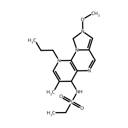 CCCN1C=C(C)C(NS(=O)(=O)CC)C2=C1N1CN(OC)C=C1C=N2